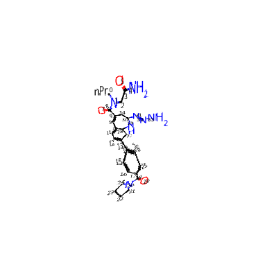 CCCN(CC(N)=O)C(=O)C1=CC2=CC=C(c3ccc(C(=O)N4CCCC4)cc3)CC2NC(N=NN)C1